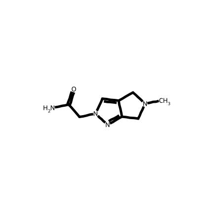 CN1Cc2cn(CC(N)=O)nc2C1